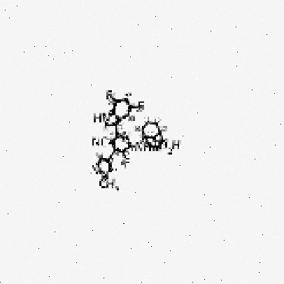 Cn1cc(-c2c(F)c(NC34CCCC(CCC3)[C@H]4C(=O)O)nc(-c3c[nH]c4c(F)cc(F)cc34)c2C#N)cn1